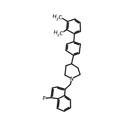 Cc1cccc(-c2ccc(C3CCN(Cc4ccc(F)c5ccccc45)CC3)cc2)c1C